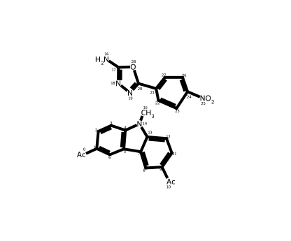 CC(=O)c1ccc2c(c1)c1cc(C(C)=O)ccc1n2C.Nc1nnc(-c2ccc([N+](=O)[O-])cc2)o1